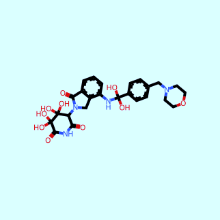 O=C1NC(=O)C(O)(O)C(O)(O)C1N1Cc2c(NC(O)(O)c3ccc(CN4CCOCC4)cc3)cccc2C1=O